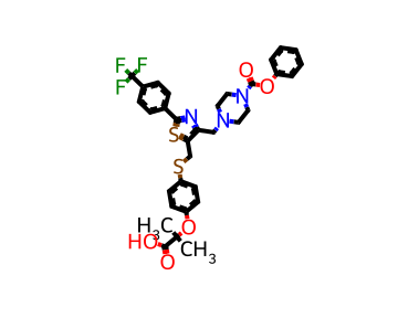 CC(C)(Oc1ccc(SCc2sc(-c3ccc(C(F)(F)F)cc3)nc2CN2CCN(C(=O)Oc3ccccc3)CC2)cc1)C(=O)O